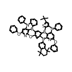 CC(C)(C)c1cc2c(s1)B1c3cc4c(cc3N(c3ccc5c(c3)C(C)(C)CCC5(C)C)c3nc(Oc5ccccc5)cc(c31)N2c1ccccc1)Oc1nc(Oc2ccccc2)cc2c1B4c1ccccc1N2c1ccccc1